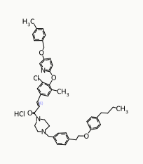 CCCCc1ccc(OCCc2ccc(CN3CCN(C(=O)/C=C/c4cc(C)c(Oc5ccc(OCc6ccc(C)cc6)cn5)c(Cl)c4)CC3)cc2)cc1.Cl